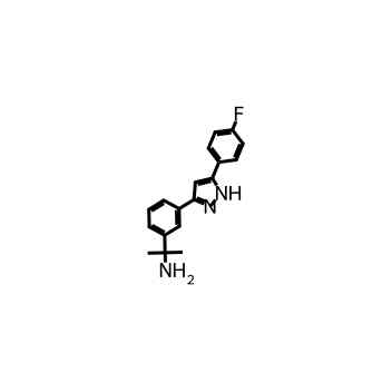 CC(C)(N)c1cccc(-c2cc(-c3ccc(F)cc3)[nH]n2)c1